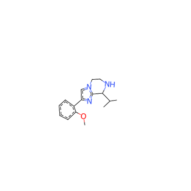 COc1ccccc1-c1cn2c(n1)C(C(C)C)NCC2